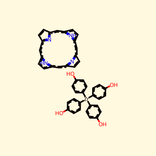 C1=Cc2cc3ccc(cc4nc(cc5ccc(cc1n2)[nH]5)C=C4)[nH]3.Oc1cc[c]([Zr]([c]2ccc(O)cc2)([c]2ccc(O)cc2)[c]2ccc(O)cc2)cc1